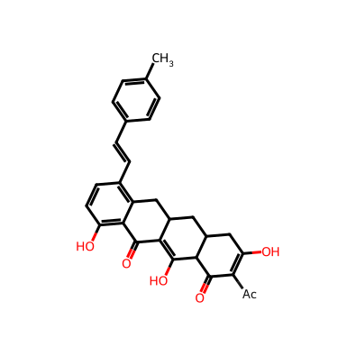 CC(=O)C1=C(O)CC2CC3Cc4c(/C=C/c5ccc(C)cc5)ccc(O)c4C(=O)C3=C(O)C2C1=O